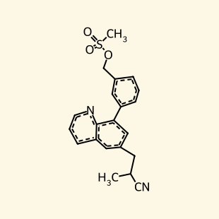 CC(C#N)Cc1cc(-c2cccc(COS(C)(=O)=O)c2)c2ncccc2c1